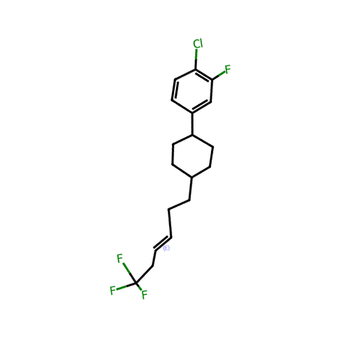 Fc1cc(C2CCC(CC/C=C/CC(F)(F)F)CC2)ccc1Cl